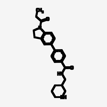 CCC(=O)N1CCc2cc(-c3ccc(C(=O)NCC4CCCNC4)cc3)ccc21